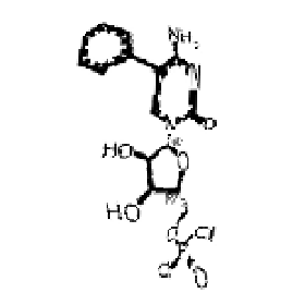 Nc1nc(=O)n([C@@H]2O[C@H](COP(=O)(Cl)Cl)C(O)C2O)cc1-c1ccccc1